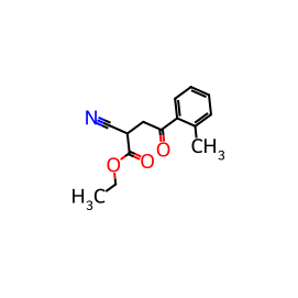 CCOC(=O)C(C#N)CC(=O)c1ccccc1C